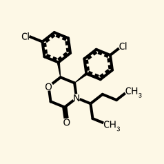 CCCC(CC)N1C(=O)CO[C@@H](c2cccc(Cl)c2)[C@H]1c1ccc(Cl)cc1